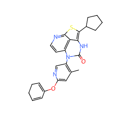 Cc1cc(OC2=CCCC=C2)ncc1N1C(=O)Nc2c(C3CCCC3)sc3nccc1c23